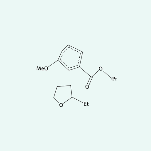 CCC1CCCO1.COc1cccc(C(=O)OC(C)C)c1